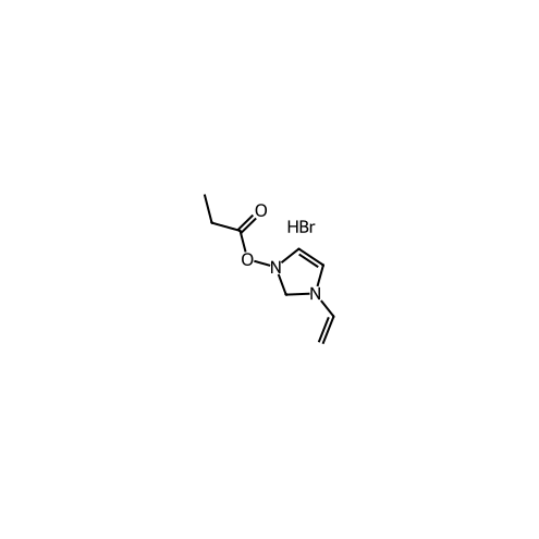 Br.C=CN1C=CN(OC(=O)CC)C1